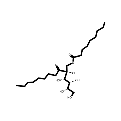 CCCCCCCCC(=O)OC[C@](O)(C(=O)CCCCCCCC)[C@@H](O)[C@H](O)[C@@H](O)CO